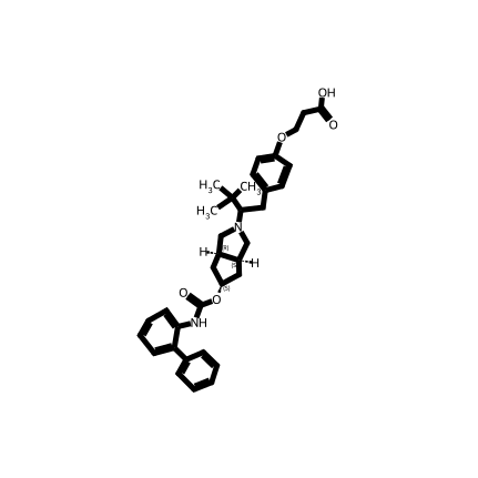 CC(C)(C)C(Cc1ccc(OCCC(=O)O)cc1)N1C[C@H]2C[C@H](OC(=O)Nc3ccccc3-c3ccccc3)C[C@H]2C1